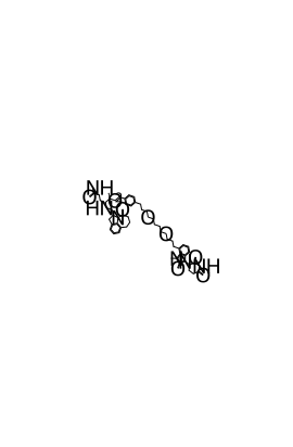 C[C@@H](OCc1ccc(CCCOCCCCOCCCc2cccc3c2n(C)c(=O)n3C2CCC(=O)NC2=O)cc1)[C@H](CCC(N)=O)NC[C@@H]1Cc2cccc3c2N1C(=O)CCC3